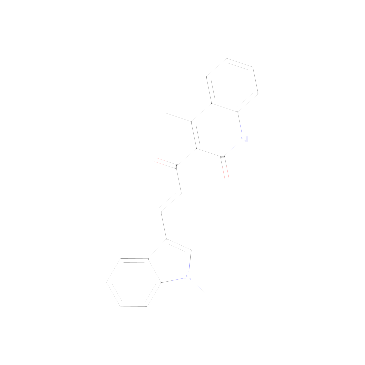 Cc1c(C(=O)C=Cc2cn(C)c3ccccc23)c(=O)[nH]c2ccccc12